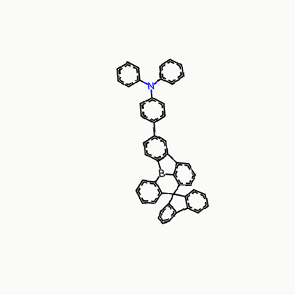 c1ccc(N(c2ccccc2)c2ccc(-c3ccc4c(c3)-c3cccc5c3B4c3ccccc3C53c4ccccc4-c4ccccc43)cc2)cc1